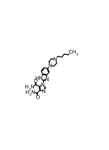 CCCCCN1CCN(c2ccc3[nH]c(-n4cnc(C(N)=O)c4C(N)=O)nc3c2)CC1